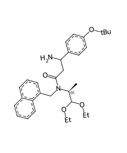 CCOC(OCC)[C@H](C)N(Cc1cccc2ccccc12)C(=O)CC(N)c1ccc(OC(C)(C)C)cc1